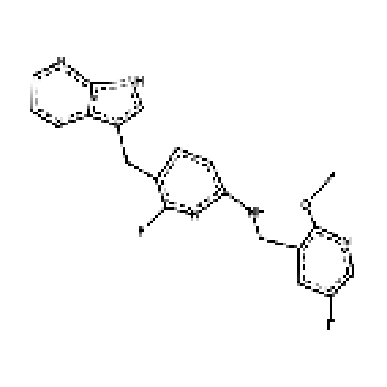 COc1ncc(F)cc1CNc1ccc(Cc2c[nH]c3ncccc23)c(F)n1